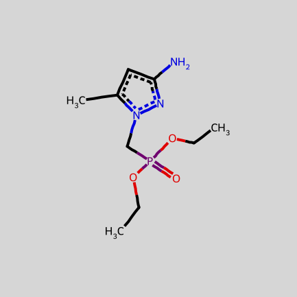 CCOP(=O)(Cn1nc(N)cc1C)OCC